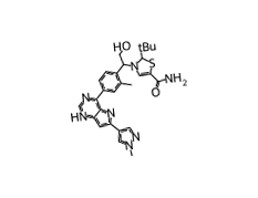 Cc1cc(-c2nc[nH]c3cc(-c4cnn(C)c4)nc2-3)ccc1C(CO)N1C=C(C(N)=O)SC1C(C)(C)C